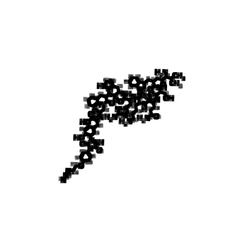 CC(C)C(N)C(=O)CC(Cc1c[nH]c2ccccc12)C(=O)NC(CO)C(=O)NC(CCC(N)=O)C(=O)NC(CCCCN)C(=O)NC(CCCNC(=N)N)C(=O)NC(Cc1c[nH]cn1)C(=O)NC(Cc1ccccc1)C(=O)NCC(=O)NC(Cc1ccc(O)c(-n2[nH]c(=O)n(-c3ccc(OCCN=[N+]=[N-])cc3)c2=O)c1)C(=O)O